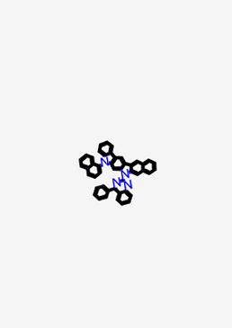 c1ccc(-c2nc(-n3c4cc5ccccc5cc4c4cc5c6ccccc6n(-c6cccc7ccccc67)c5cc43)nc3ccccc23)cc1